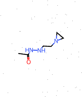 CC(=O)NNCCN1CC1